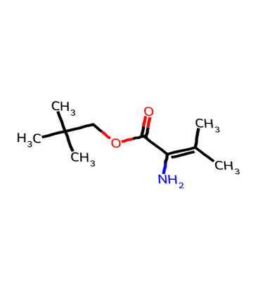 CC(C)=C(N)C(=O)OCC(C)(C)C